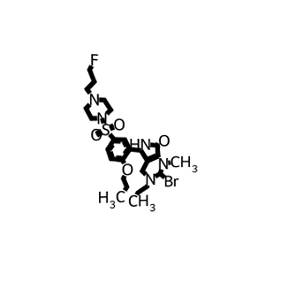 CCCOc1ccc(S(=O)(=O)N2CCN(CCCF)CC2)cc1C1NC(=O)C2=C1CN(CCC)C(Br)N2C